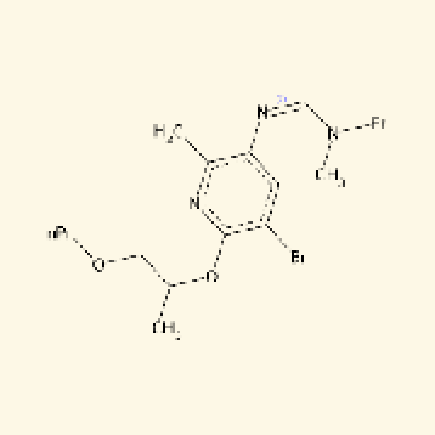 CCCOCC(C)Oc1nc(C)c(/N=C\N(C)CC)cc1Br